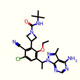 CCOc1c(C(C)n2nc(C)c3c(N)ncnc32)cc(Cl)c(C#N)c1C1CN(C(=O)NC(C)(C)C)C1